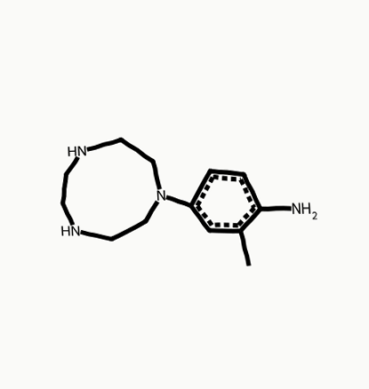 Cc1cc(N2CCNCCNCC2)ccc1N